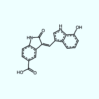 O=C1Nc2ccc(C(=O)O)cc2C1=Cc1c[nH]c2c(O)cccc12